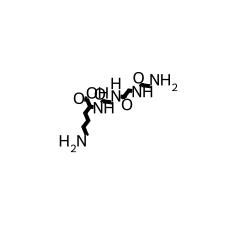 NCCCCC(NC(=O)CNC(=O)CNC(=O)CN)C(=O)O